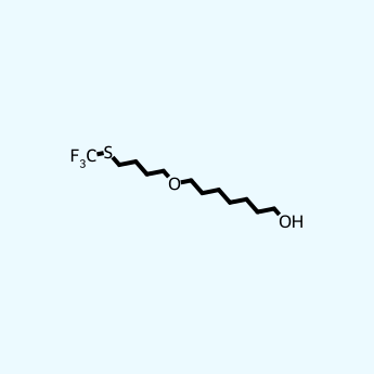 OCCCCCCCOCCCCSC(F)(F)F